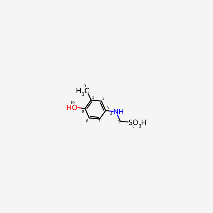 Cc1cc(NCS(=O)(=O)O)ccc1O